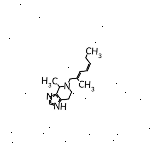 CC/C=C\C=C(/C)CN1CCc2[nH]cnc2C1C